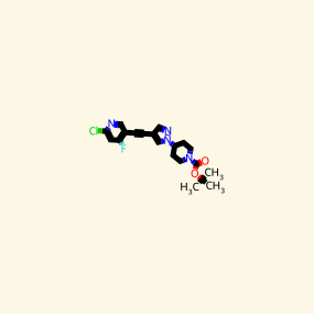 CC(C)(C)OC(=O)N1CCC(n2cc(C#Cc3cnc(Cl)cc3F)cn2)CC1